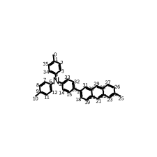 Cc1ccc(N(c2ccc(C)cc2)c2ccc(-c3ccc4cc5cc(C)ccc5cc4c3)cc2)cc1